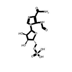 NC(=O)c1ncn(C2O[C@H](COP(=O)(O)O)[C@@H](O)[C@H]2O)c1NC=O